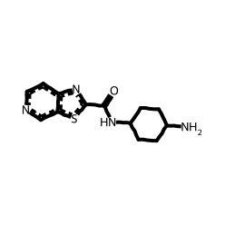 NC1CCC(NC(=O)c2nc3ccncc3s2)CC1